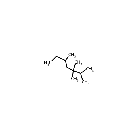 CCC(C)CC(C)(C)C(C)C